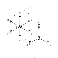 FB(F)F.[F][W]([F])([F])([F])([F])[F]